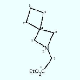 CCOC(=O)CN1CC2(CCC2)C1